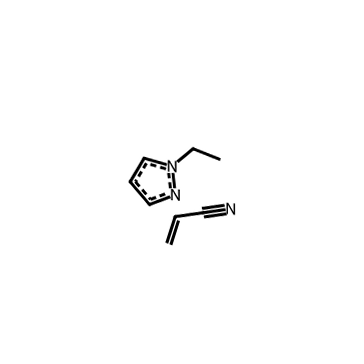 C=CC#N.CCn1cccn1